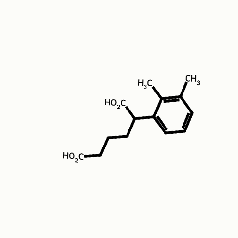 Cc1cccc(C(CCCC(=O)O)C(=O)O)c1C